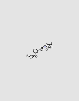 O=C1NC(=S)S/C1=C/c1ccc(-c2cccc(C(=O)N3CC[C@@H](F)C3)c2)o1